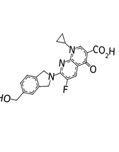 O=C(O)c1cn(C2CC2)c2nc(N3Cc4ccc(CO)cc4C3)c(F)cc2c1=O